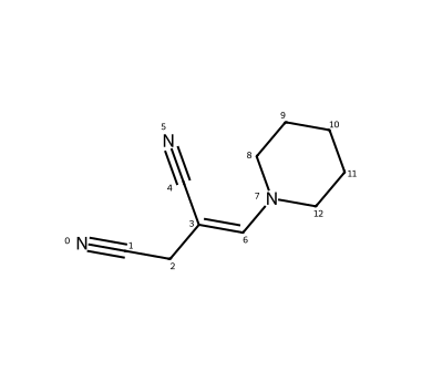 N#CCC(C#N)=CN1CCCCC1